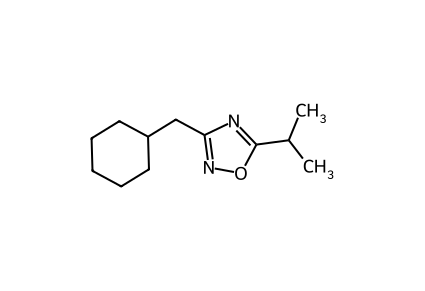 CC(C)c1nc(CC2CCCCC2)no1